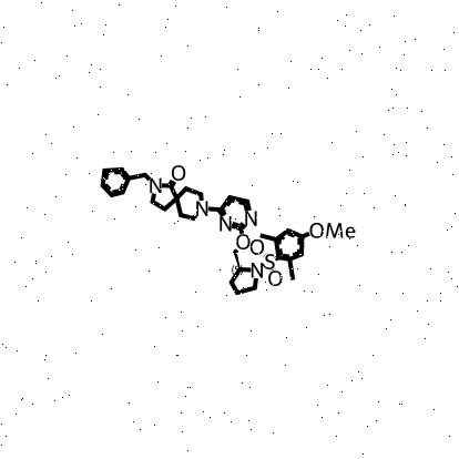 COc1cc(C)c(S(=O)(=O)N2CCC[C@H]2COc2nccc(N3CCC4(CCN(Cc5ccccc5)C4=O)CC3)n2)c(C)c1